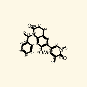 COc1cc2c(cc1-c1cc(C)c(=O)n(C)c1)CCC(=O)N2C(C)c1ccccc1